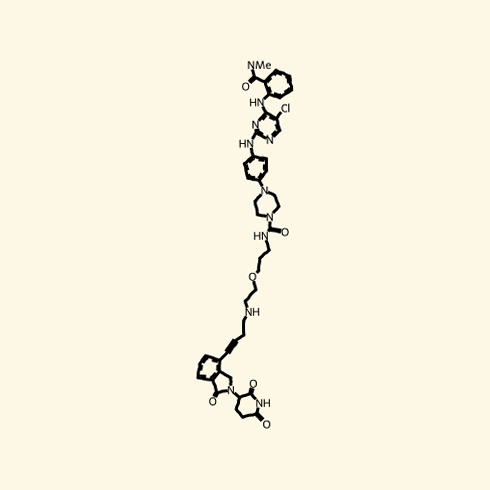 CNC(=O)c1ccccc1Nc1nc(Nc2ccc(N3CCN(C(=O)NCCCOCCNCCC#Cc4cccc5c4CN(C4CCC(=O)NC4=O)C5=O)CC3)cc2)ncc1Cl